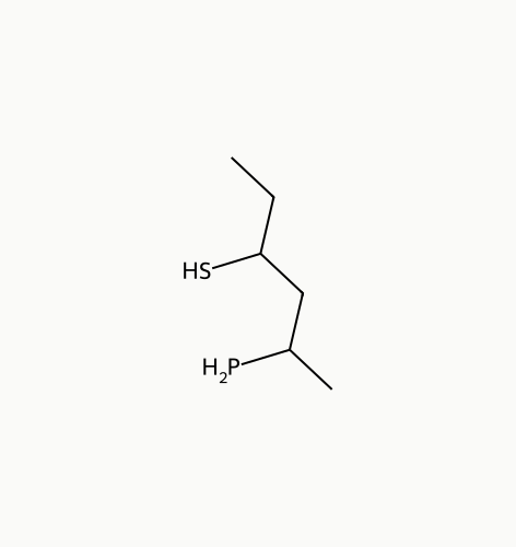 CCC(S)CC(C)P